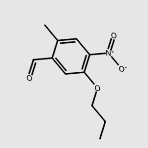 CCCOc1cc(C=O)c(C)cc1[N+](=O)[O-]